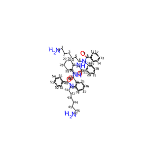 NCCCCCCN(C(=O)c1ccccc1)c1ccccc1C(=O)NC1CCCC[C@H]1NC(=O)c1ccccc1N(CCCCCCN)C(=O)c1ccccc1